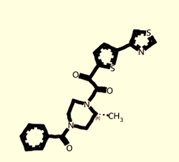 C[C@@H]1CN(C(=O)c2ccccc2)CCN1C(=O)C(=O)c1ccc(-c2cscn2)s1